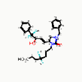 O=C(O)CCC(F)(F)CCCN1C(=O)N(Cc2ccccc2)CC1C=CC(O)C(F)(F)c1ccccc1